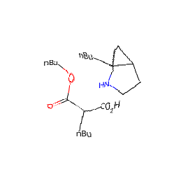 CCCCC12CC1CCN2.CCCCOC(=O)C(CCCC)C(=O)O